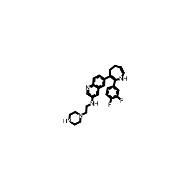 Fc1ccc(C2=C(c3ccc4ncc(NCCN5CCNCC5)cc4c3)CCC=CN2)cc1F